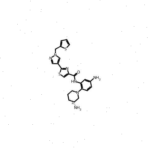 Nc1ccc(N2CCC[C@@H](N)C2)c(NC(=O)c2csc(-c3cnn(Cc4cccs4)c3)n2)c1